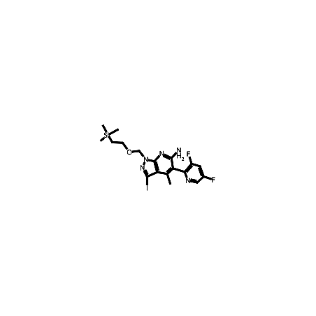 Cc1c(-c2ncc(F)cc2F)c(N)nc2c1c(I)nn2COCC[Si](C)(C)C